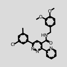 COc1ccc(CNC(=O)c2cc(-c3cc(C)cc(Cl)c3)nnc2-c2ccccn2)cc1OC